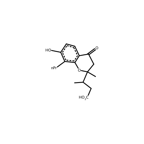 CCCc1c(O)ccc2c1OC(C)(C(C)CC(=O)O)CC2=O